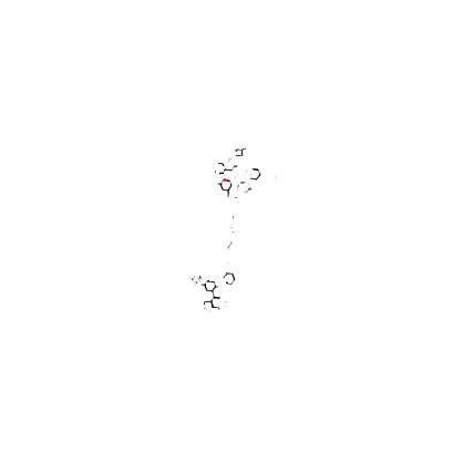 CCS(=O)(=O)Nc1ccc(Oc2cccc(OCCOCCOCCOCCOCC(=O)N3CC(=O)N(c4cc(C#N)ccn4)[C@H](C(=O)N(c4cc(F)cc(F)c4)C(C(=O)NC4CC(F)(F)C4)c4ccccc4Cl)C3)c2)c(-c2cn(C)c(=O)c3[nH]ccc23)c1